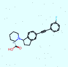 O=C(O)[C@@H]1CCCCN1C1CCc2cc(C#Cc3cccc(F)c3)ccc21